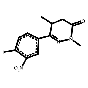 CC1CC(=O)N(C)N=C1c1ccc(I)c([N+](=O)[O-])c1